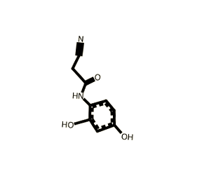 N#CCC(=O)Nc1ccc(O)cc1O